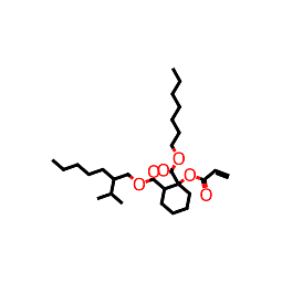 C=CC(=O)OC1(C(=O)OCCCCCCC)CCCCC1C(=O)OCC(CCCCC)C(C)C